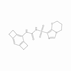 O=C(Nc1c2c(cc3c1CC3)CC2)NS(=O)(=O)c1ncn2c1OCCC2